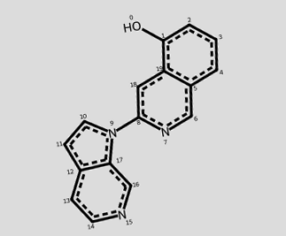 Oc1cccc2cnc(-n3ccc4ccncc43)cc12